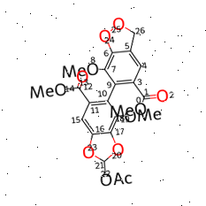 COC(=O)c1cc2c(c(OC)c1-c1c(C(=O)OC)cc3c(c1OC)OC(OC(C)=O)O3)OOC2